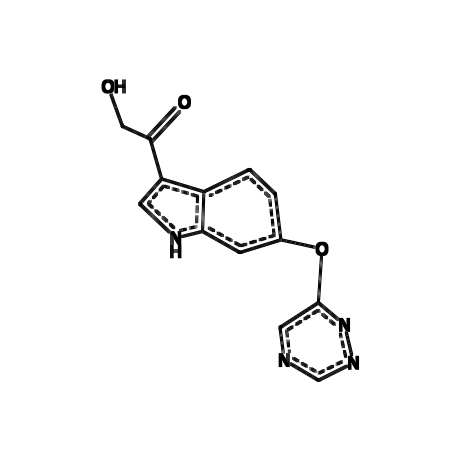 O=C(CO)c1c[nH]c2cc(Oc3cncnn3)ccc12